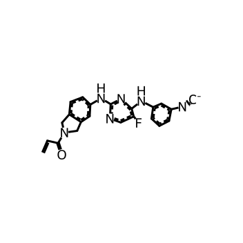 [C-]#[N+]c1cccc(Nc2nc(Nc3ccc4c(c3)CN(C(=O)C=C)C4)ncc2F)c1